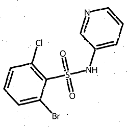 O=S(=O)(Nc1cccnc1)c1c(Cl)cccc1Br